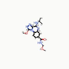 COCNC(=O)c1ccc2c(c1)nc(NC(C)C)c1nnc(OC)n12